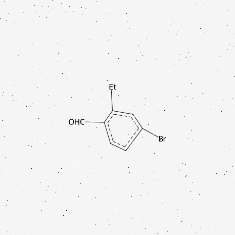 CCc1cc(Br)ccc1C=O